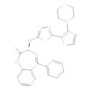 O=C1Nc2ccccc2C(c2ccccc2)=N[C@@H]1Nc1nnc(-c2occc2N2CCOCC2)o1